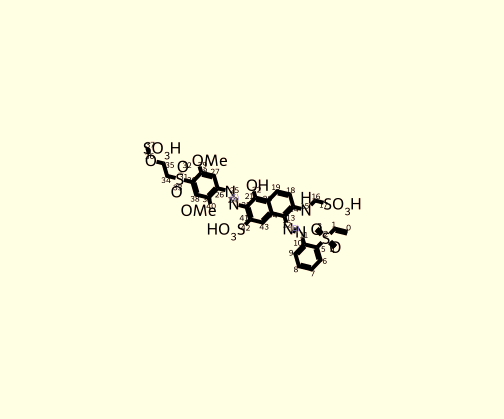 C=CS(=O)(=O)c1ccccc1/N=N/c1c(NCS(=O)(=O)O)ccc2c(O)c(/N=N/c3cc(OC)c(S(=O)(=O)CCOS(=O)(=O)O)cc3OC)c(S(=O)(=O)O)cc12